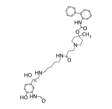 CC1(OC(=O)Nc2ccccc2-c2ccccc2)CCN(CCC(=O)NCCCCCNC[C@@H](O)c2ccc(O)c(NC=O)c2)CC1